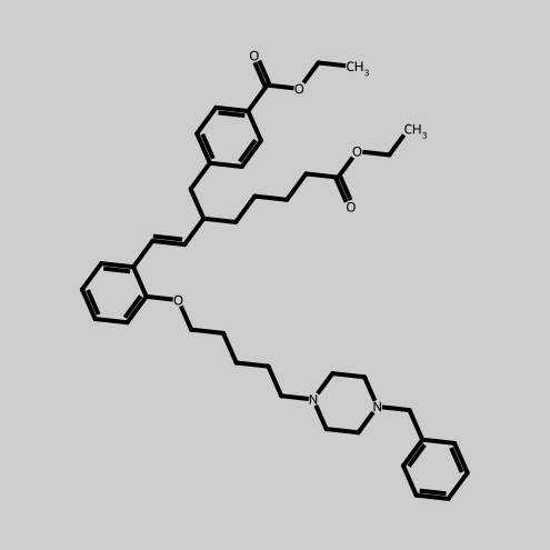 CCOC(=O)CCCCC(/C=C/c1ccccc1OCCCCCN1CCN(Cc2ccccc2)CC1)Cc1ccc(C(=O)OCC)cc1